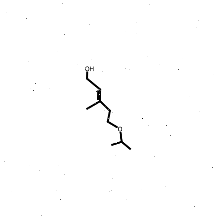 C/C(=C\CO)CCOC(C)C